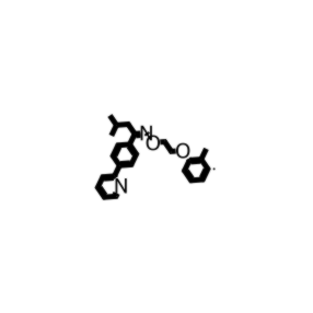 Cc1[c]cccc1OCCON=C(CC(C)C)c1ccc(-c2ccccn2)cc1